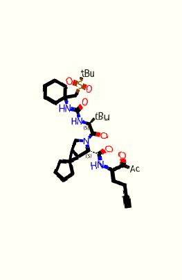 C#CCCC(NC(=O)[C@@H]1C2C(CN1C(=O)[C@@H](NC(=O)NC1(CS(=O)(=O)C(C)(C)C)CCCCC1)C(C)(C)C)C21CCCC1)C(=O)C(C)=O